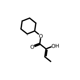 CC=C(O)C(=O)OC1[CH]CCCC1